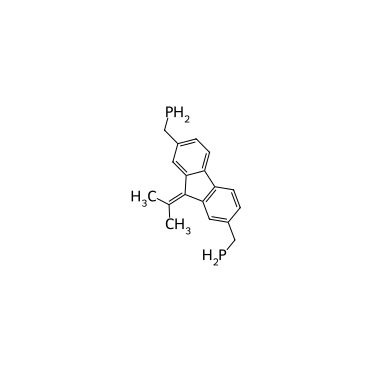 CC(C)=C1c2cc(CP)ccc2-c2ccc(CP)cc21